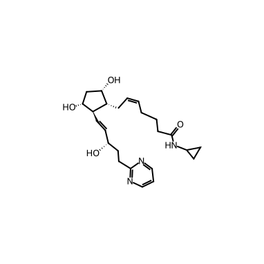 O=C(CCC/C=C\C[C@@H]1[C@@H](/C=C/[C@@H](O)CCc2ncccn2)[C@H](O)C[C@@H]1O)NC1CC1